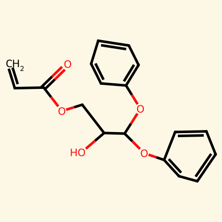 C=CC(=O)OCC(O)C(Oc1ccccc1)Oc1ccccc1